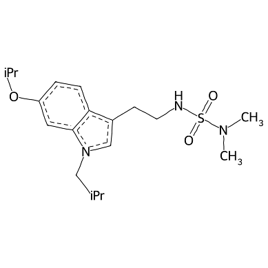 CC(C)Cn1cc(CCNS(=O)(=O)N(C)C)c2ccc(OC(C)C)cc21